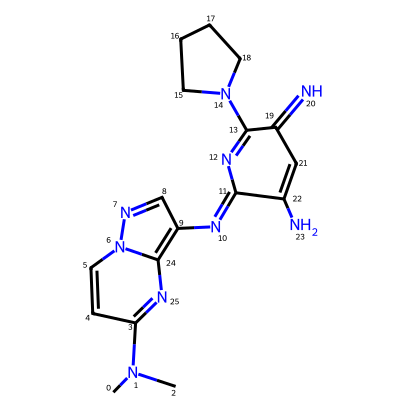 CN(C)c1ccn2ncc(/N=C3\N=C(N4CCCC4)C(=N)C=C3N)c2n1